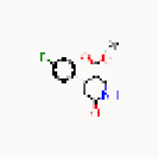 CC(C)OC(=O)[C@@H]1CNC(=O)C[C@@H]1c1ccc(F)cc1